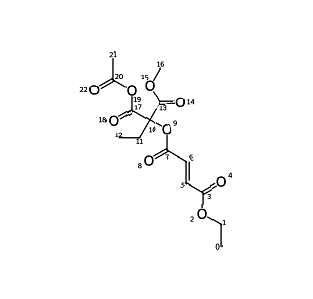 CCOC(=O)C=CC(=O)OC(CC)(C(=O)OC)C(=O)OC(C)=O